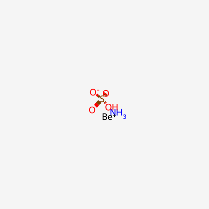 N.O=S(=O)([O-])O.[Be+]